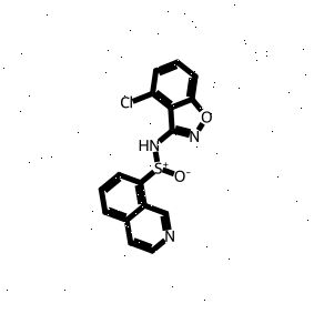 [O-][S+](Nc1noc2cccc(Cl)c12)c1cccc2ccncc12